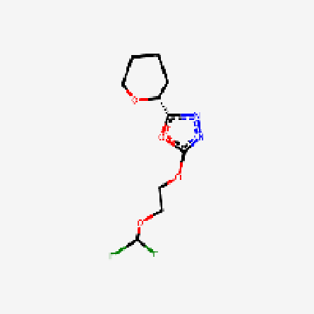 FC(F)OCCOc1nnc([C@H]2CCCCO2)o1